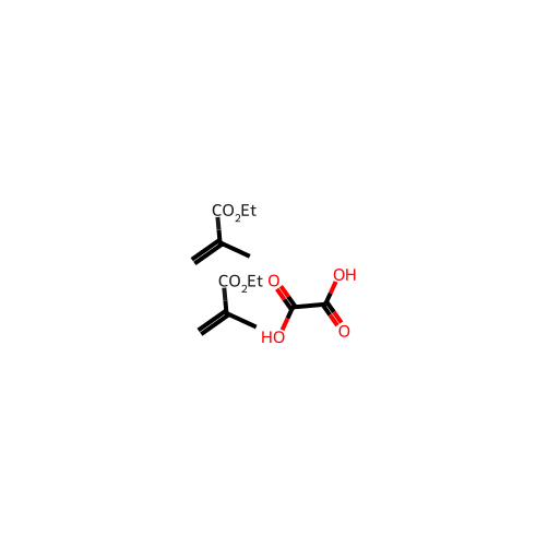 C=C(C)C(=O)OCC.C=C(C)C(=O)OCC.O=C(O)C(=O)O